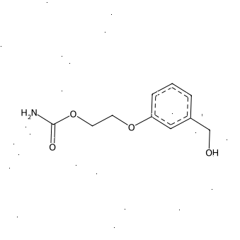 NC(=O)OCCOc1cccc(CO)c1